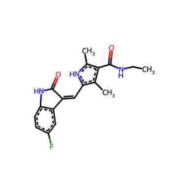 CCNC(=O)c1c(C)[nH]c(C=C2C(=O)Nc3ccc(F)cc32)c1C